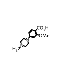 COc1cc(N2CCN(C)CC2)ccc1C(=O)O